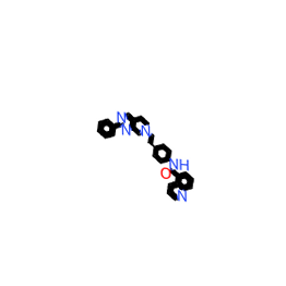 O=C(N[C@H]1CC[C@H](CCN2CCc3cnc(-c4ccccc4)nc3C2)CC1)c1cccc2ncccc12